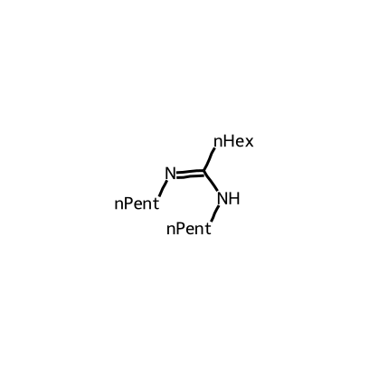 CCCCCCC(=NCCCCC)NCCCCC